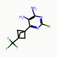 Nc1nc(Br)nc(C23CC(C(F)(F)F)(C2)C3)c1N